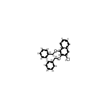 Clc1cc2ccccc2c(OCc2ccccc2)c1OCc1ccccc1